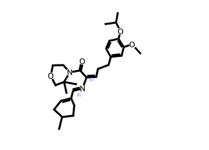 COc1cc(CC/C=C(/N=C/C2=CCC(C)CC2)C(=O)N2CCOCC2(C)C)ccc1OC(C)C